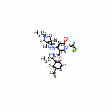 C[C@@H](NC(=O)c1cn([C@@H]2CC2(F)F)c(=O)cc1NC1[C@H]2CN(C)C[C@@H]12)c1cccc(C(F)F)c1F